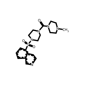 CN1CCN(C(=O)N2CCN(S(=O)(=O)c3cccc4cnccc34)CC2)CC1